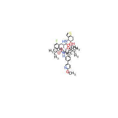 COc1ccc(-c2ccc(C[C@H](NC(=O)OC(C)(C)C)[C@H](C[C@@H](Cc3ccccc3F)C(=O)N[C@H]3c4ccsc4CC[C@H]3O)O[Si](C)(C)C(C)(C)C)cc2)cn1